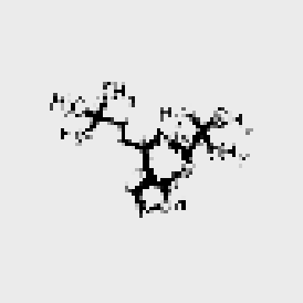 CC(C)(C)CCc1nc(C(C)(C)C)nc2[nH]ncc12